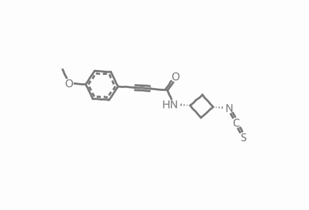 COc1ccc(C#CC(=O)N[C@H]2C[C@@H](N=C=S)C2)cc1